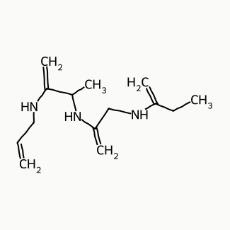 C=CCNC(=C)C(C)NC(=C)CNC(=C)CC